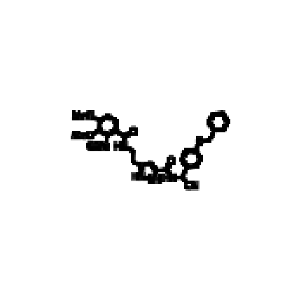 COc1ccc(C(=O)NCCN2C=C(C(=O)NC(C#N)c3ccc(OCc4ccccc4)cc3)NN2)c(OC)c1OC